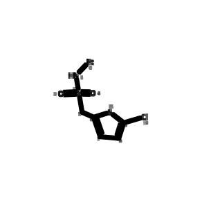 CCNS(=O)(=O)Cc1ccc(Cl)s1